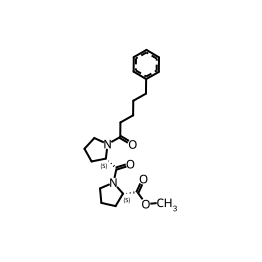 COC(=O)[C@@H]1CCCN1C(=O)[C@@H]1CCCN1C(=O)CCCCc1ccccc1